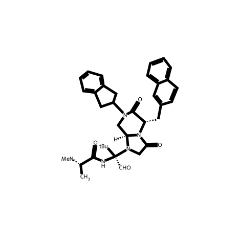 CN[C@@H](C)C(=O)N[C@](C=O)(N1CC(=O)N2[C@@H](Cc3ccc4ccccc4c3)C(=O)N(C3Cc4ccccc4C3)C[C@@H]21)C(C)(C)C